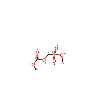 COC(=O)OCS(=O)(=O)OC